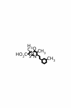 Cc1cccc(/C=C/c2nc3sc(C(=O)O)c(C)n3c(=O)c2C)c1